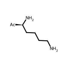 [CH]C(=O)[C@@H](N)CCCCN